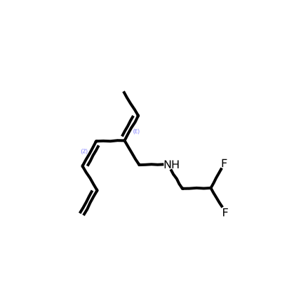 C=C/C=C\C(=C/C)CNCC(F)F